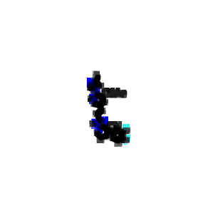 COc1cc(C=Cc2nc3n(n2)CCCC3(C#N)c2ccc(F)c(F)c2)cnc1-n1cnc(C)c1